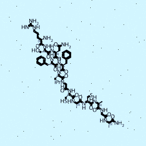 CC(C)C[C@H](NC(=O)[C@H](Cc1ccccc1)NC(=O)[C@H](Cc1ccccc1)NC(=O)[C@H](CC(N)=O)NC(=O)[C@H](CO)NC(=O)[C@@H](N)CCCNC(=N)N)C(=O)NCC(=O)N[C@@H](CS)C(=O)N[C@@H](C)C(=O)N[C@@H](CS)C(=O)N[C@@H](C)C(=O)NCC(=O)N[C@@H](C)C(N)=O